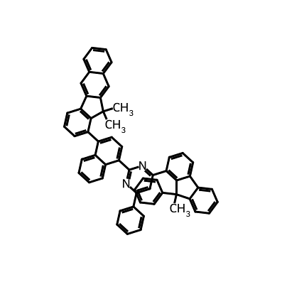 CC1(C)c2cc3ccccc3cc2-c2cccc(-c3ccc(-c4nc(-c5ccccc5)cc(-c5cccc6c5C(C)(c5ccccc5)c5ccccc5-6)n4)c4ccccc34)c21